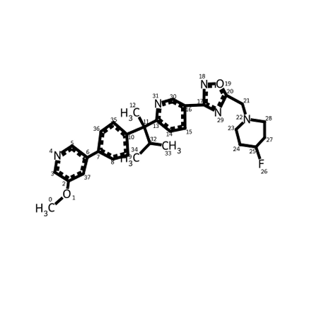 COc1cncc(-c2ccc(C(C)(c3ccc(-c4noc(CN5CCC(F)CC5)n4)cn3)C(C)C)cc2)c1